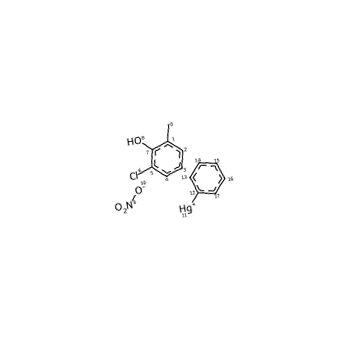 Cc1cccc(Cl)c1O.O=[N+]([O-])[O-].[Hg+][c]1ccccc1